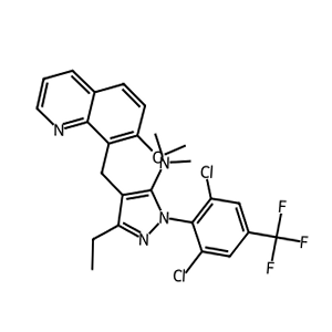 CCc1nn(-c2c(Cl)cc(C(F)(F)F)cc2Cl)c(N(C)C)c1Cc1c(OC)ccc2cccnc12